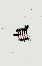 CCCCCCCCCCCCOS(=O)(=O)O.CCCCCCCCCCCCOS(=O)(=O)O.CCCCCCCCCCCCOS(=O)(=O)O.CCCCCCCCCCCCOS(=O)(=O)O.CCCCCCCCCCCCOS(=O)(=O)O.[Na+].[Na+].[Na+].[Na+].[Na+].[Na+].[Na+].[Na+].[Na+].[Na+].[Na+].[Na+]